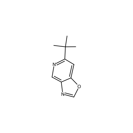 CC(C)(C)c1cc2ocnc2cn1